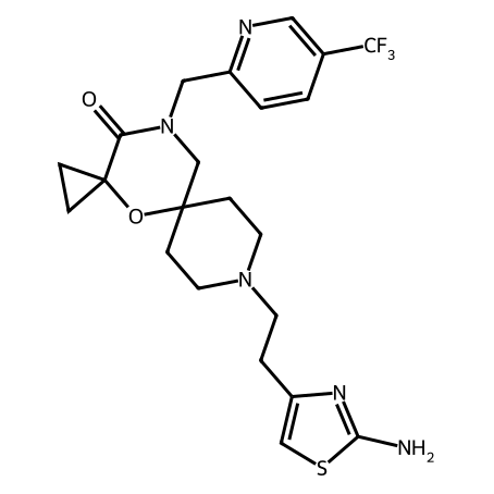 Nc1nc(CCN2CCC3(CC2)CN(Cc2ccc(C(F)(F)F)cn2)C(=O)C2(CC2)O3)cs1